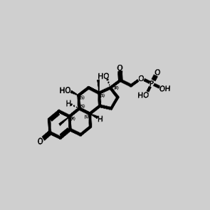 C[C@]12C=CC(=O)C=C1CC[C@H]1C3CC[C@](O)(C(=O)COP(=O)(O)O)[C@@]3(C)C[C@H](O)[C@@H]12